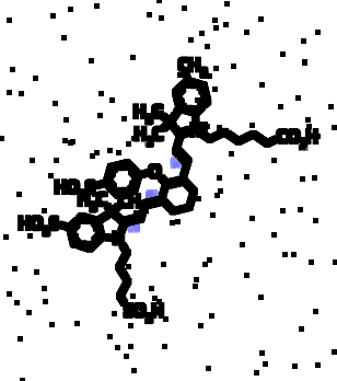 Cc1ccc2c(c1)C(C)(C)C(/C=C/C1=C(Oc3ccc(S(=O)(=O)O)cc3)C(=C/C=C3/N(CCCCS(=O)(=O)O)c4ccc(S(=O)(=O)O)cc4C3(C)C)/CCC1)=[N+]2CCCCCC(=O)O